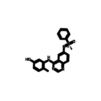 Cc1ccc(O)cc1Nc1ncnc2ccc(N=[S@](C)(=O)c3ccccc3)cc12